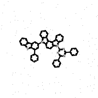 c1ccc(-c2nc(-c3ccccc3)nc(-n3c4ccccc4c4c5c6ccccc6n(-c6cc(-c7ccccc7)c7sc8ccccc8c7c6)c5ccc43)n2)cc1